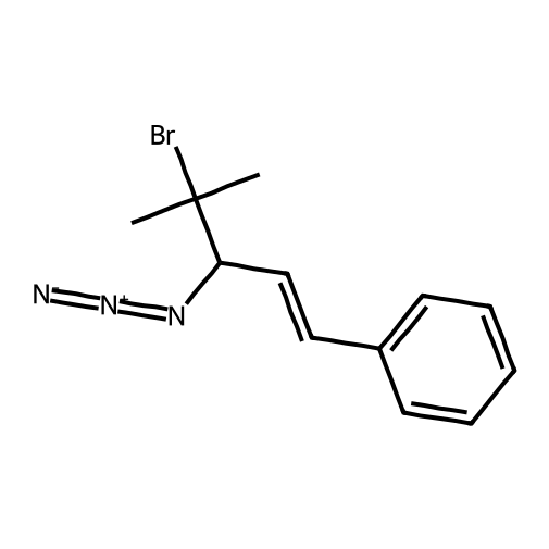 CC(C)(Br)C(C=Cc1ccccc1)N=[N+]=[N-]